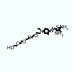 CCN(CCOCCOCCOCCOCCO)c1ccc(/N=N/c2sc(N)c(C)c2N)c(C)c1